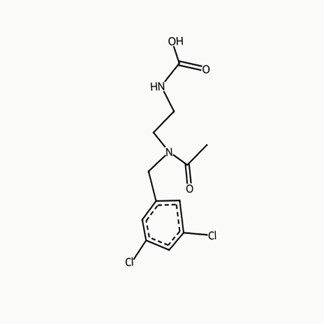 CC(=O)N(CCNC(=O)O)Cc1cc(Cl)cc(Cl)c1